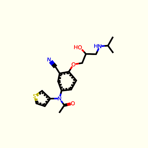 CC(=O)N(c1ccsc1)c1ccc(OCC(O)CNC(C)C)c(C#N)c1